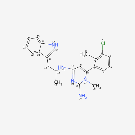 Cc1c(Cl)cccc1C1=CC(NC(C)Cc2c[nH]c3ccccc23)=NC(N)N1C